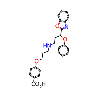 O=C(O)c1ccc(OCCCNCCC(Oc2ccccc2)c2nc3ccccc3o2)cc1